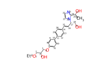 CCOCC(O)COc1ccc(-c2ccc(/C=C/[C@@H](CO)n3ccnc3[C@H](C)O)cc2)cc1